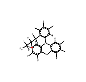 Fc1c(F)c(F)c([S+](c2c(F)c(F)c(F)c(F)c2F)c2c(F)c(F)c(F)c(F)c2C(F)(F)C(F)(F)C(F)(F)C(F)(F)F)c(F)c1F